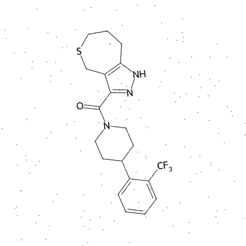 O=C(c1n[nH]c2c1CSCCC2)N1CCC(c2ccccc2C(F)(F)F)CC1